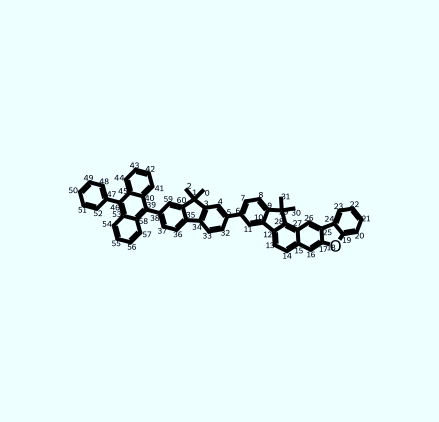 CC1(C)c2cc(-c3ccc4c(c3)-c3ccc5cc6oc7ccccc7c6cc5c3C4(C)C)ccc2-c2ccc(-c3c4ccccc4c(-c4ccccc4)c4ccccc34)cc21